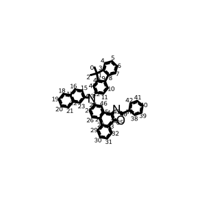 CC1(C)c2ccccc2-c2ccc(N(c3ccc4ccccc4c3)c3ccc4c5ccccc5c5oc(-c6ccccc6)nc5c4c3)cc21